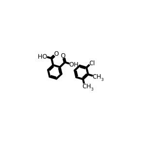 Cc1cccc(Cl)c1C.O=C(O)c1ccccc1C(=O)O